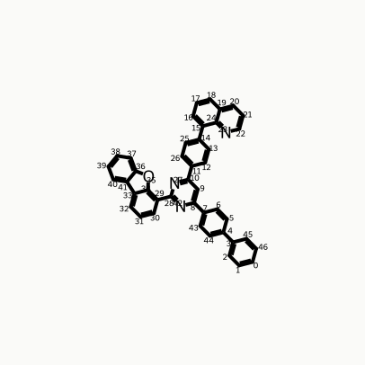 c1ccc(-c2ccc(-c3cc(-c4ccc(-c5cccc6cccnc56)cc4)nc(-c4cccc5c4oc4ccccc45)n3)cc2)cc1